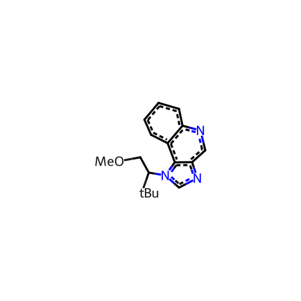 COCC(n1cnc2cnc3ccccc3c21)C(C)(C)C